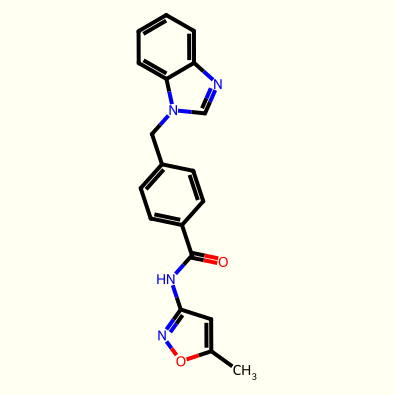 Cc1cc(NC(=O)c2ccc(Cn3cnc4ccccc43)cc2)no1